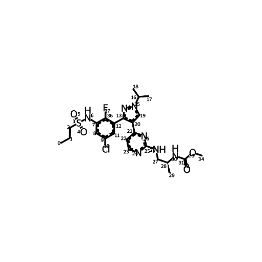 CCCS(=O)(=O)Nc1cc(Cl)cc(-c2nn(C(C)C)cc2-c2ccnc(NC[C@H](C)NC(=O)OC)n2)c1F